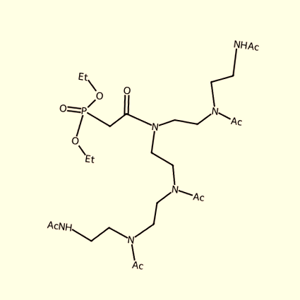 CCOP(=O)(CC(=O)N(CCN(CCNC(C)=O)C(C)=O)CCN(CCN(CCNC(C)=O)C(C)=O)C(C)=O)OCC